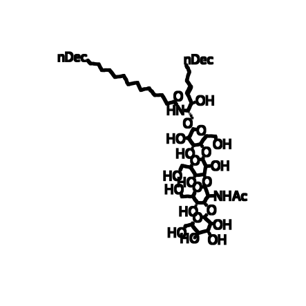 CCCCCCCCCCCCC/C=C/[C@@H](O)[C@H](CO[C@@H]1OC(CO)[C@@H](O[C@@H]2OC(CO)[C@H](O)[C@H](O[C@@H]3OC(CO)[C@@H](O)[C@H](O[C@@H]4OC(CO)[C@H](O)[C@H](O)C4O)C3NC(C)=O)C2O)[C@H](O)C1O)NC(=O)CCCCCCCCCCCCCCCCCCCCCCC